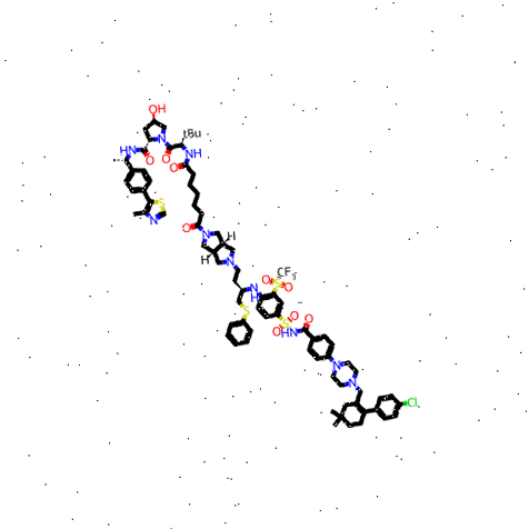 Cc1ncsc1-c1ccc([C@H](C)NC(=O)[C@@H]2C[C@@H](O)CN2C(=O)[C@@H](NC(=O)CCCCCC(=O)N2C[C@H]3CN(CC[C@H](CSc4ccccc4)Nc4ccc(S(=O)(=O)NC(=O)c5ccc(N6CCN(CC7=C(c8ccc(Cl)cc8)CCC(C)(C)C7)CC6)cc5)cc4S(=O)(=O)C(F)(F)F)C[C@H]3C2)C(C)(C)C)cc1